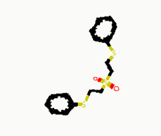 O=S(=O)(CCSc1ccccc1)CCSc1ccccc1